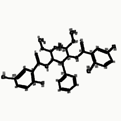 COC(C)C(OC(=O)c1cc(Cl)ccc1Cl)N(c1ccccc1)C(OC(=O)c1cc(Cl)ccc1Cl)C(C)OC